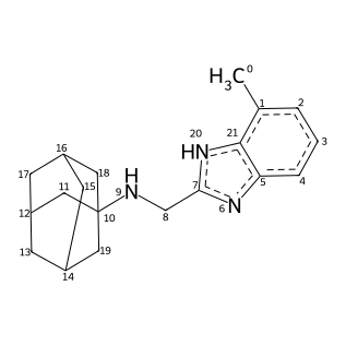 Cc1cccc2nc(CNC34CC5CC(CC(C5)C3)C4)[nH]c12